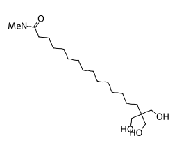 CNC(=O)CCCCCCCCCCCCCCC(CO)(CO)CO